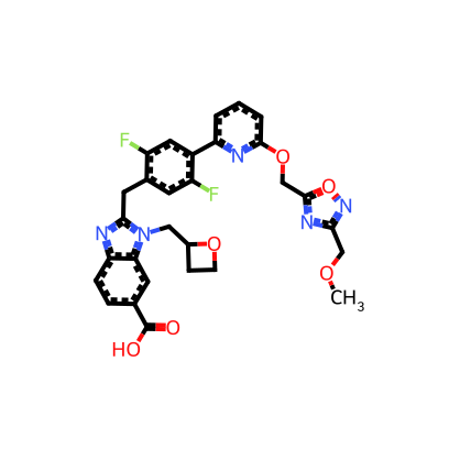 COCc1noc(COc2cccc(-c3cc(F)c(Cc4nc5ccc(C(=O)O)cc5n4CC4CCO4)cc3F)n2)n1